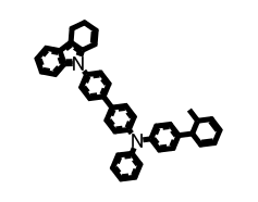 CC1C=CC=CC1c1ccc(N(c2ccccc2)c2ccc(-c3ccc(-n4c5c(c6ccccc64)CCC=C5)cc3)cc2)cc1